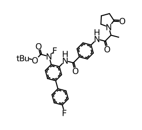 CC(C(=O)Nc1ccc(C(=O)Nc2cc(-c3ccc(F)cc3)ccc2N(F)C(=O)OC(C)(C)C)cc1)N1CCCC1=O